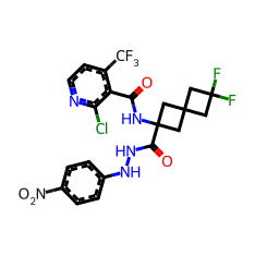 O=C(NC1(C(=O)NNc2ccc([N+](=O)[O-])cc2)CC2(CC(F)(F)C2)C1)c1c(C(F)(F)F)ccnc1Cl